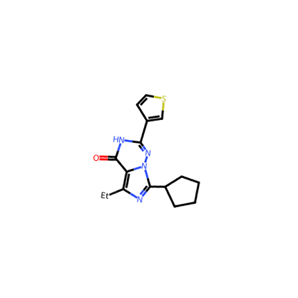 CCc1nc(C2CCCC2)n2nc(-c3ccsc3)[nH]c(=O)c12